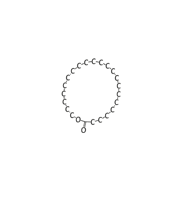 O=C1CCCCCCCCCCCCCCCCCCCCCO1